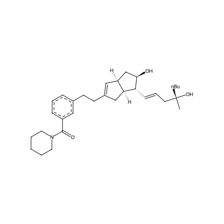 CCCC[C@](C)(O)C/C=C/[C@@H]1[C@H]2CC(CCc3cccc(C(=O)N4CCCCC4)c3)=C[C@H]2C[C@H]1O